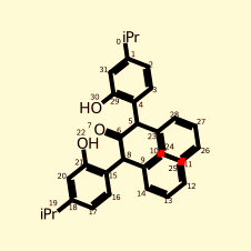 CC(C)c1ccc(C(C(=O)C(c2ccccc2)c2ccc(C(C)C)cc2O)c2ccccc2)c(O)c1